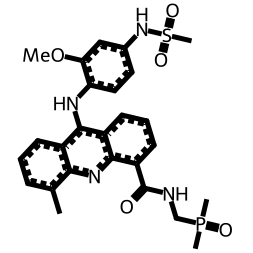 COc1cc(NS(C)(=O)=O)ccc1Nc1c2cccc(C)c2nc2c(C(=O)NCP(C)(C)=O)cccc12